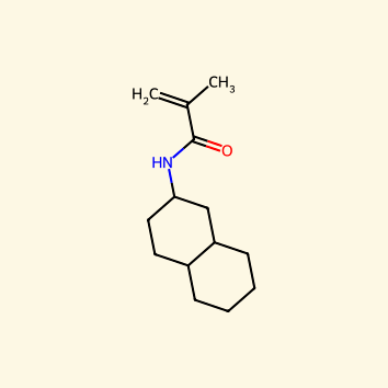 C=C(C)C(=O)NC1CCC2CCCCC2C1